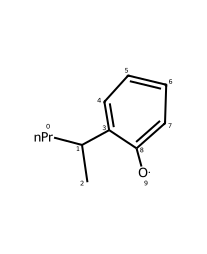 CCCC(C)c1ccccc1[O]